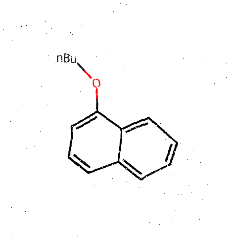 CCCCOc1cccc2cc[c]cc12